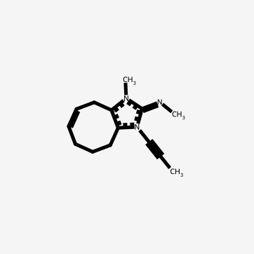 CC#Cn1c2c(n(C)/c1=N/C)C/C=C\CCC2